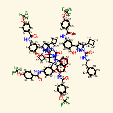 CCCN(C(=O)N1NC(c2cc(NC(=O)c3ccc(OC(F)(F)F)cc3)ccc2O)(c2cc(NC(=O)c3ccc(OC(F)(F)F)cc3)ccc2O)CC1(C1CCC1)C1CCC1)[N+]1(C(=O)NCc2ccccc2)N=C(c2cc(NC(=O)c3ccc(OC(F)(F)F)cc3)ccc2O)C=C1C1CCC1.O=C(Nc1ccc(O)c(-c2cc(C3CCC3)n(C(=O)NCCc3ccccc3)n2)c1)c1ccc(OC(F)(F)F)cc1